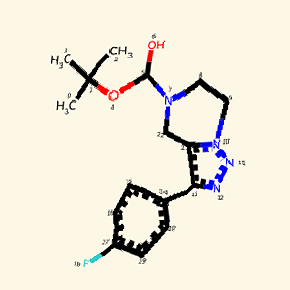 CC(C)(C)OC(O)N1CCn2nnc(-c3ccc(F)cc3)c2C1